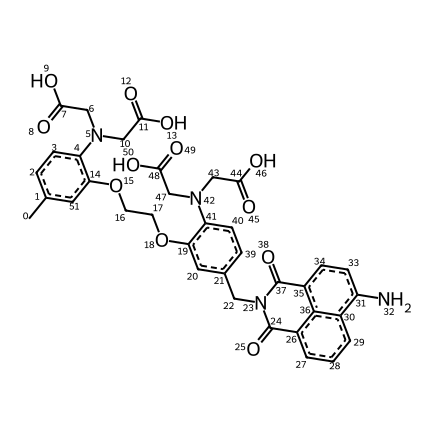 Cc1ccc(N(CC(=O)O)CC(=O)O)c(OCCOc2cc(CN3C(=O)c4cccc5c(N)ccc(c45)C3=O)ccc2N(CC(=O)O)CC(=O)O)c1